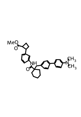 COC(=O)C1CCC1c1cccc(NC(=O)C2(Cc3ccc(-c4ccc(N(C)C)cc4)cc3)CCCCC2)c1